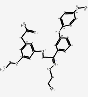 CCCO/N=C(\COc1cc(CC(=O)O)cc(OCC)c1)c1cccc(Oc2ccc(OC)cc2)c1